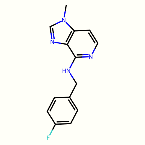 Cn1cnc2c(NCc3ccc(F)cc3)nccc21